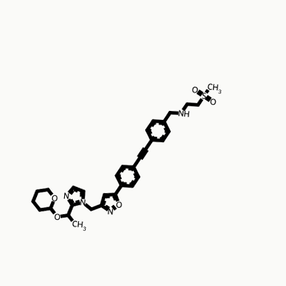 CC(OC1CCCCO1)c1nccn1Cc1cc(-c2ccc(C#Cc3ccc(CNCCS(C)(=O)=O)cc3)cc2)on1